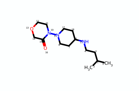 CC(C)CCNC1CCN(N2CCOCC2=O)CC1